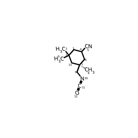 CC1(C)CC(C#N)C[C@@](C)(CN=C=O)C1